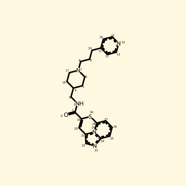 O=C(NCC1CCN(CCCc2ccncc2)CC1)C1=Cc2cnc3cccc(n23)S1